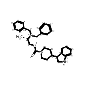 C[C@@H](COC(=O)N1CCC(C2CNc3ccccc32)CC1)N(Cc1ccccc1)Cc1ccccc1